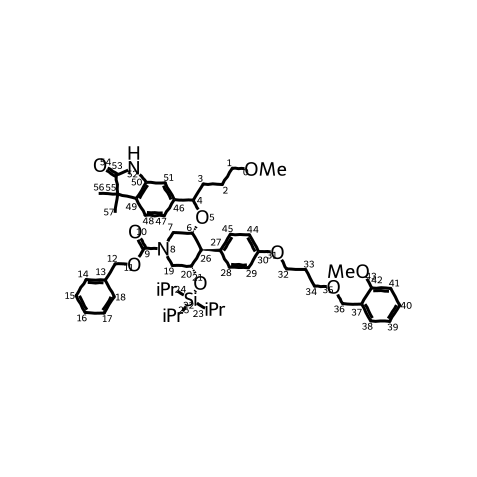 COCCCC(O[C@H]1CN(C(=O)OCc2ccccc2)C[C@@H](O[Si](C(C)C)(C(C)C)C(C)C)[C@@H]1c1ccc(OCCCOCc2ccccc2OC)cc1)c1ccc2c(c1)NC(=O)C2(C)C